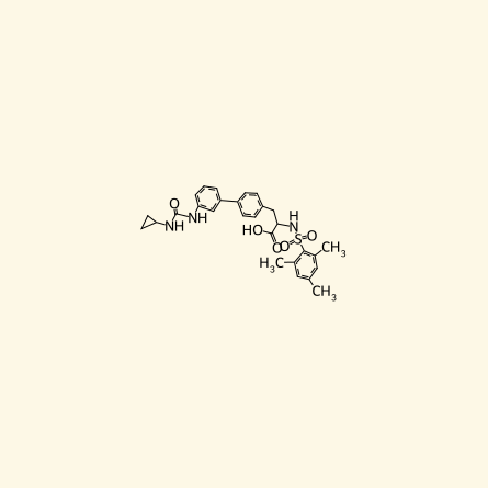 Cc1cc(C)c(S(=O)(=O)NC(Cc2ccc(-c3cccc(NC(=O)NC4CC4)c3)cc2)C(=O)O)c(C)c1